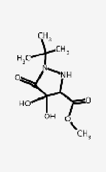 COC(=O)C1NN(C(C)(C)C)C(=O)C1(O)O